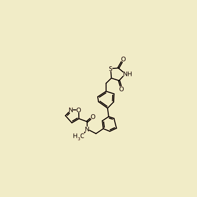 CN(Cc1cccc(-c2ccc(CC3SC(=O)NC3=O)cc2)c1)C(=O)c1ccno1